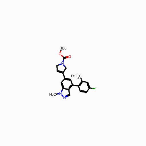 CCOC(=O)c1cc(F)ccc1-c1cc(C2=CCN(C(=O)OC(C)(C)C)C2)cc2c1cnn2C